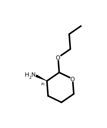 CCCOC1OCCC[C@H]1N